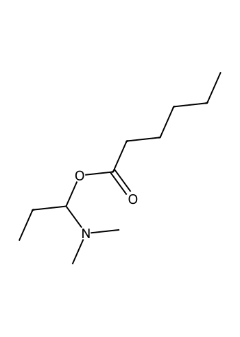 CCCCCC(=O)OC(CC)N(C)C